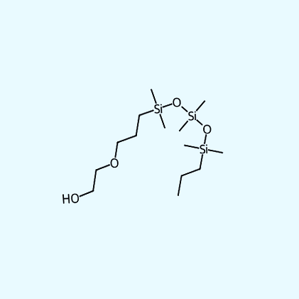 CCC[Si](C)(C)O[Si](C)(C)O[Si](C)(C)CCCOCCO